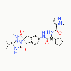 CNC(=O)C1(N2C[C@@H](C(C)C)NC2=O)Cc2ccc(NC(=O)[C@@H](NC(=O)c3ccnn3C)C3CCCC3)cc2C1